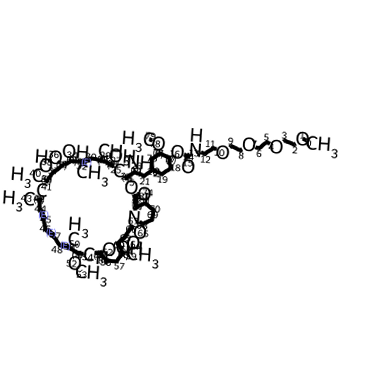 COCCOCCOCCOCCNC(=O)O[C@@H]1CCC(C[C@@H](N)[C@@H]2C[C@@H](O)[C@H](C)/C=C(\C)[C@@H](O)[C@@H](O)C(=O)[C@H](C)C[C@H](C)/C=C/C=C/C=C(\C)[C@@H](OC)C[C@@H]3CC[C@@H](C)[C@@](O)(O3)C(=O)C(=O)N3CCCC[C@H]3C(=O)O2)C[C@H]1OC